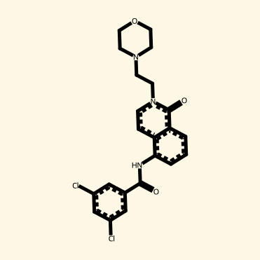 O=C(Nc1cccc2c(=O)n(CCN3CCOCC3)ccc12)c1cc(Cl)cc(Cl)c1